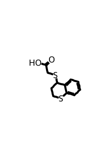 O=C(O)CSC1CCSc2ccccc21